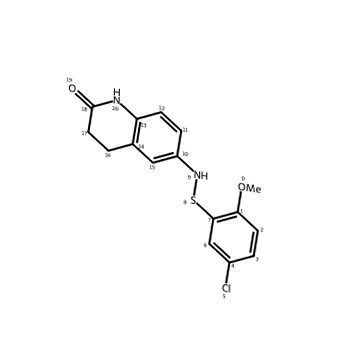 COc1ccc(Cl)cc1SNc1ccc2c(c1)CCC(=O)N2